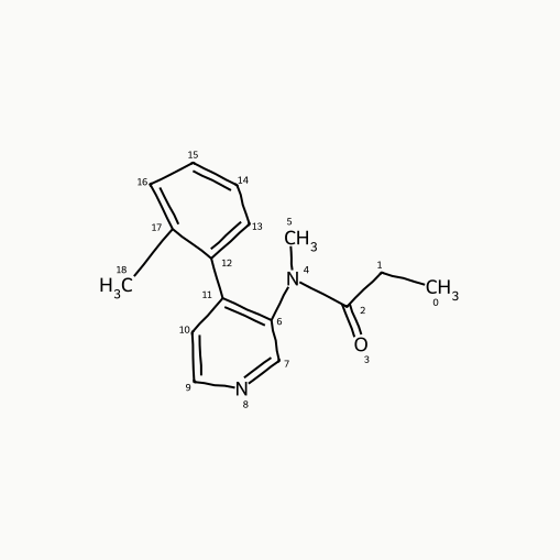 CCC(=O)N(C)c1cnccc1-c1ccccc1C